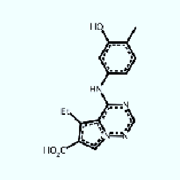 CCc1c(C(=O)O)cn2ncnc(Nc3ccc(C)c(O)c3)c12